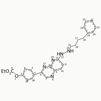 CCOC(=O)Oc1ccc(-c2cnc3ccc(NNCCCCc4ccccc4)nc3n2)cc1